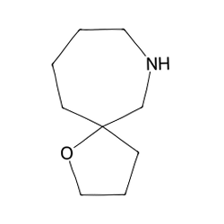 C1CCC2(CCCO2)CNC1